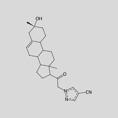 CC12CCC3C4CC[C@@](C)(O)CC4=CCC3C1CCC2C(=O)Cn1cc(C#N)cn1